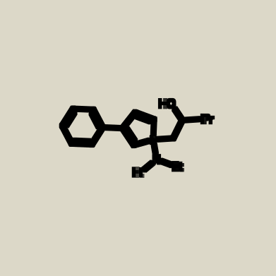 CCN(CC)S1(CC(O)C(C)C)C=CC(c2ccccc2)=C1